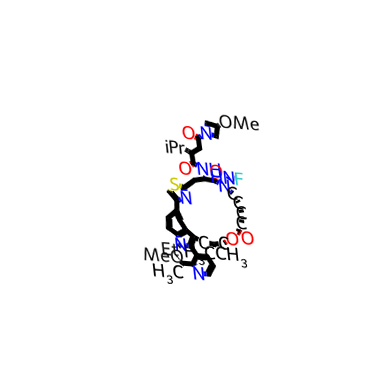 CCn1c(-c2cccnc2[C@H](C)OC)c2c3cc(ccc31)-c1csc(n1)C[C@H](NC(=O)C(CC(=O)N1CC(OC)C1)C(C)C)C(=O)N(NF)CCCCC(=O)OCC(C)(C)C2